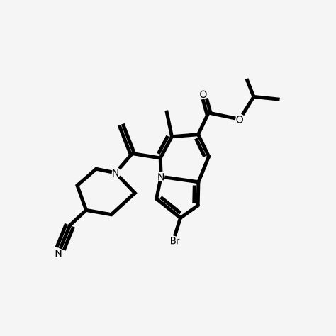 C=C(c1c(C)c(C(=O)OC(C)C)cc2cc(Br)cn12)N1CCC(C#N)CC1